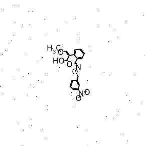 COC=C(C(=O)O)c1ccccc1C=NOCc1cccc([N+](=O)[O-])c1